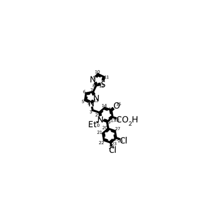 CCn1c(Cn2ccc(-c3nccs3)n2)cc(=O)c(C(=O)O)c1-c1ccc(Cl)c(Cl)c1